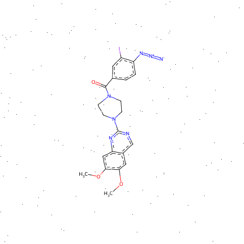 COc1cc2cnc(N3CCN(C(=O)c4ccc(N=[N+]=[N-])c(I)c4)CC3)nc2cc1OC